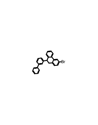 Brc1ccc2c(c1)-c1ccccc1C(c1cccc(-c3ccccc3)c1)C2